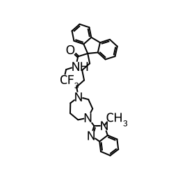 Cn1c(N2CCCN(CCCCC3(C(=O)NCC(F)(F)F)c4ccccc4-c4ccccc43)CC2)nc2ccccc21